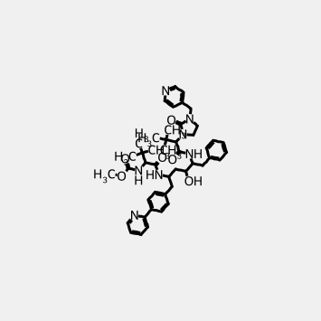 COC(=O)NC(C(=O)NC(Cc1ccc(-c2ccccn2)cc1)CC(O)C(Cc1ccccc1)NC(=O)C(N1CCN(Cc2ccncc2)C1=O)C(C)(C)C)C(C)(C)C